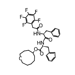 O=C(Cc1c(F)c(F)c(F)c(F)c1F)N[C@@H](Cc1ccccc1)C(=O)N[C@@H](Cc1ccccc1)C(=O)OC1CCCCCCCCC1